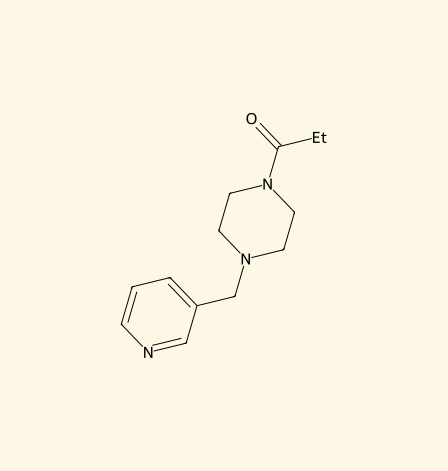 CCC(=O)N1CCN(Cc2cccnc2)CC1